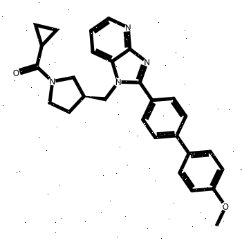 COc1ccc(-c2ccc(-c3nc4ncccc4n3C[C@H]3CCN(C(=O)C4CC4)C3)cc2)cc1